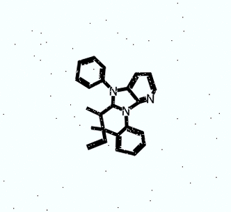 C=CC1(C)c2ccccc2N2c3ncccc3N(c3ccccc3)C2C1C